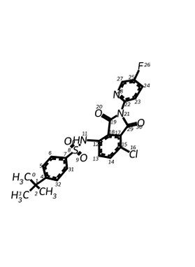 CC(C)(C)c1ccc(S(=O)(=O)Nc2ccc(Cl)c3c2C(=O)N(c2ccc(F)cn2)C3=O)cc1